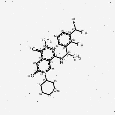 C[C@@H](Nc1nn(C)c(=O)c2cc(=O)n(C3CCCOC3)cc12)c1cccc(C(F)F)c1F